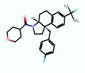 CC(F)(c1ccc2c(c1)CC[C@H]1N(C(=O)C3CCOCC3)CC[C@@]21Cc1ccc(F)cc1)C(F)(F)F